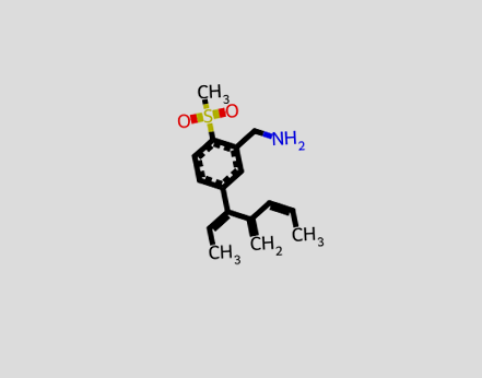 C=C(/C=C\C)/C(=C\C)c1ccc(S(C)(=O)=O)c(CN)c1